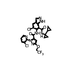 O=C(NC1(C2CC2)CC1)c1c(NC(=O)c2cc(OCC(F)(F)F)nn2-c2ncccc2Cl)c(Cl)cc2cn[nH]c12